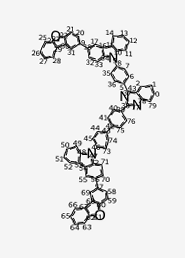 c1ccc2c(-c3ccc(-n4c5ccccc5c5cc(-c6ccc7oc8ccccc8c7c6)ccc54)cc3)nc(-c3ccc(-c4ccc(-n5c6ccccc6c6cc(-c7ccc8oc9ccccc9c8c7)ccc65)cc4)cc3)nc2c1